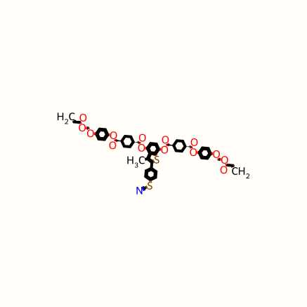 C=CC(=O)OCOc1ccc(OC(=O)[C@H]2CC[C@H](C(=O)Oc3ccc(OC(=O)[C@H]4CC[C@H](C(=O)Oc5ccc(OCOC(=O)C=C)cc5)CC4)c4c(C)c(-c5ccc(SC#N)cc5)sc34)CC2)cc1